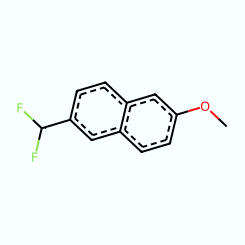 COc1ccc2cc([C](F)F)ccc2c1